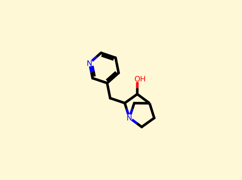 OC1C2CCN(C2)C1Cc1cccnc1